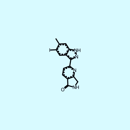 Cc1cc2[nH]nc(-c3ccc4c(n3)CNC4=O)c2cc1I